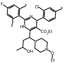 CCOC(=O)C1=C(C(CC(C)O)N2CCN(OCC)CC2)NC(c2c(F)cc(F)cc2F)=NC1c1ccc(F)cc1Cl